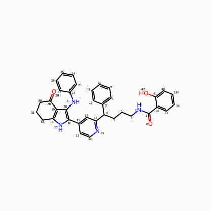 O=C(NCCCC(c1ccccc1)c1cc(-c2[nH]c3c(c2Nc2ccccc2)C(=O)CCC3)ccn1)c1ccccc1O